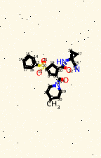 CC1CCN(C(=O)[C@@H]2C[C@H](S(=O)(=O)c3ccccc3)C[C@H]2C(=O)NC2(C#N)CC2)CC1